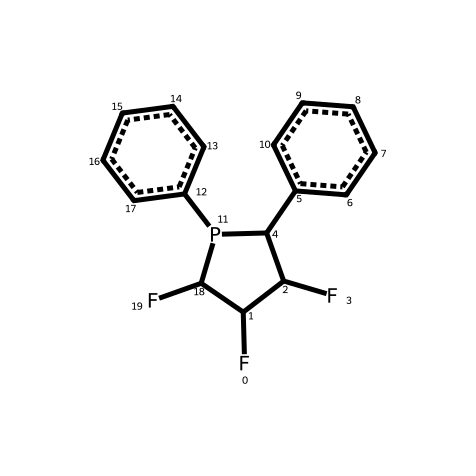 FC1C(F)C(c2ccccc2)P(c2ccccc2)C1F